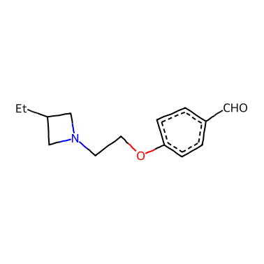 CCC1CN(CCOc2ccc(C=O)cc2)C1